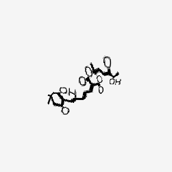 CC(O)C(=O)CCC1(C)OC(=O)C(=C/C=C/C=C/C2=C(O)CC(C)(C)CC2=O)C(=O)O1